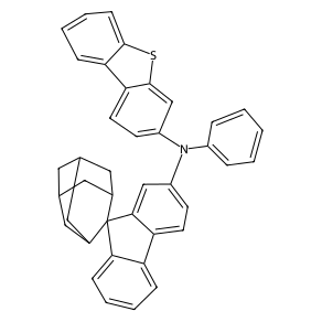 c1ccc(N(c2ccc3c(c2)C2(c4ccccc4-3)C3CC4CC(C3)CC2C4)c2ccc3c(c2)sc2ccccc23)cc1